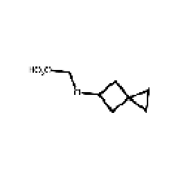 O=C(O)COC1CC2(CC2)C1